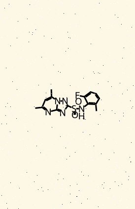 Cc1cc(C)n2nc(S(=O)(=O)Nc3c(C)cccc3F)nc2n1